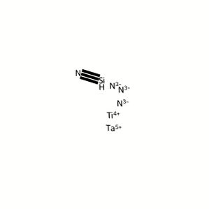 N#[SiH].[N-3].[N-3].[N-3].[Ta+5].[Ti+4]